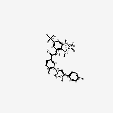 COc1c(NC(=O)c2ccc(C)c(N3C=C(c4ccc(C)nc4)NN3)c2)cc(C(C)(C)C)cc1NS(C)(=O)=O